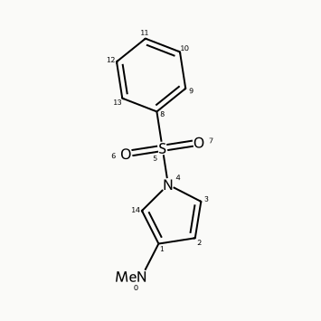 CNc1ccn(S(=O)(=O)c2ccccc2)c1